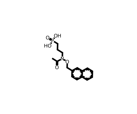 CC(=O)N(CCCP(=O)(O)O)OCc1ccc2ccccc2c1